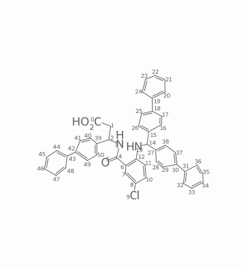 O=C(O)CC(NC(=O)c1cc(Cl)ccc1NC(c1ccc(-c2ccccc2)cc1)c1ccc(-c2ccccc2)cc1)c1ccc(-c2ccccc2)cc1